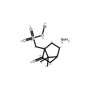 CC1(C)C2CCC1(CS(=O)(=O)OBr)C(=O)C2.[BeH2]